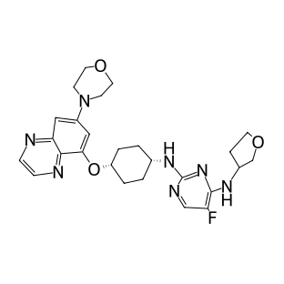 Fc1cnc(N[C@H]2CC[C@@H](Oc3cc(N4CCOCC4)cc4nccnc34)CC2)nc1NC1CCOC1